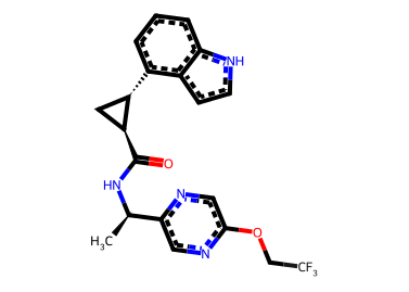 C[C@@H](NC(=O)[C@H]1C[C@@H]1c1cccc2[nH]ccc12)c1cnc(OCC(F)(F)F)cn1